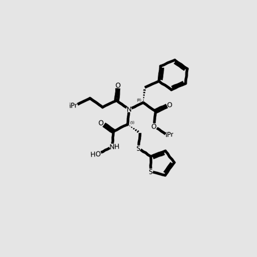 CC(C)CCC(=O)N([C@H](CSc1cccs1)C(=O)NO)[C@H](Cc1ccccc1)C(=O)OC(C)C